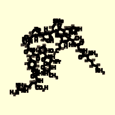 CC[C@H](C)[C@H](NC(=O)[C@H](C)NC(=O)[C@@H](NC(=O)[C@@H]1CCCN1C(=O)[C@H](Cc1ccc(O)cc1)NC(=O)[C@H](CC(C)C)NC(=O)[C@H](CC(C)C)NC(=O)[C@H](CO)NC(=O)[C@H](CCSC)NC(=O)[C@H](Cc1c[nH]cn1)NC(=O)[C@H](CCC(=O)O)NC(=O)[C@H](C)NC(=O)CNC(=O)[C@@H](N)CCCCN)C(C)C)C(=O)N[C@@H](CCCNC(=N)N)C(=O)O